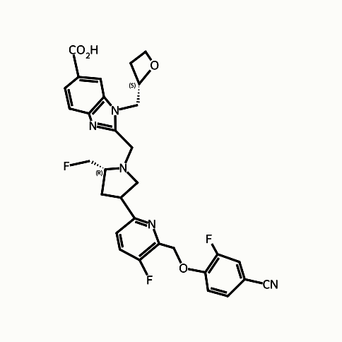 N#Cc1ccc(OCc2nc(C3C[C@H](CF)N(Cc4nc5ccc(C(=O)O)cc5n4C[C@@H]4CCO4)C3)ccc2F)c(F)c1